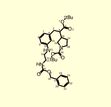 CC(C)(C)OC(=O)C(Cc1cccc(NCCNC(=O)OCc2ccccc2)c1)C1CCN(C(=O)OC(C)(C)C)C1